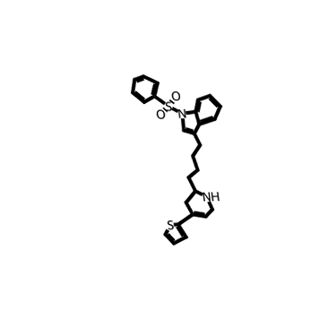 O=S(=O)(c1ccccc1)n1cc(CCCCC2CC(c3cccs3)=CCN2)c2ccccc21